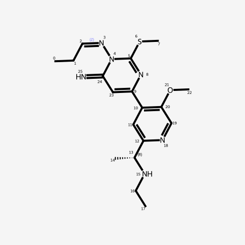 CC/C=N\n1c(SC)nc(-c2cc([C@@H](C)NCC)ncc2OC)cc1=N